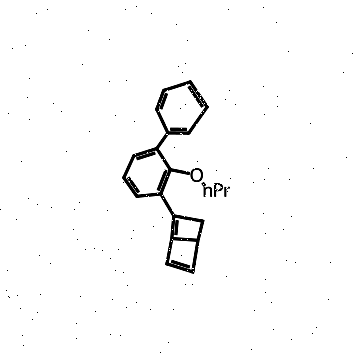 CCCOc1c(C2=C3C=CC3C2)cccc1-c1ccccc1